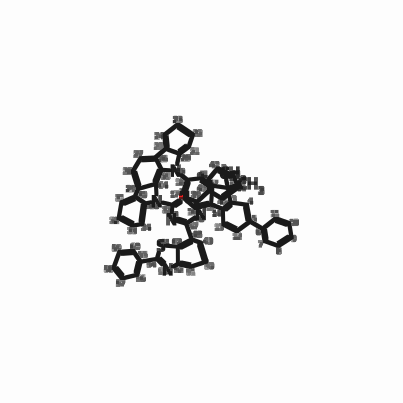 CC1(C)c2cc(-c3ccccc3)ccc2-c2ccc(-n3c4ccccc4c4ccc5c6ccccc6n(-c6nc(-c7ccccc7)nc(-c7cccc8nc(-c9ccccc9)sc78)n6)c5c43)cc21